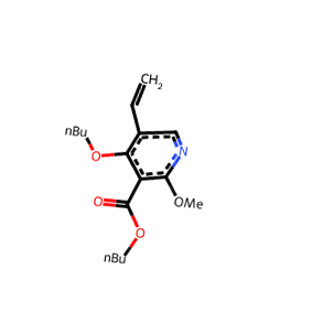 C=Cc1cnc(OC)c(C(=O)OCCCC)c1OCCCC